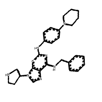 c1ccc(CNc2nc(Nc3ccc(N4CCCCC4)cc3)nc3c2ncn3C2CCNC2)cc1